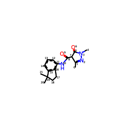 CC1=NN(C)C(=O)C1C(=O)Nc1cccc2c1CCC2(C)C